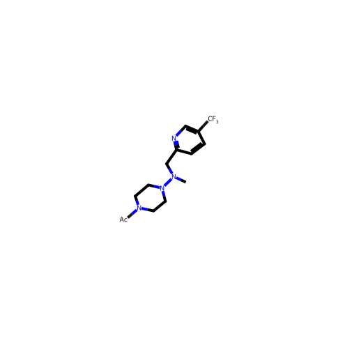 CC(=O)N1CCN(N(C)Cc2ccc(C(F)(F)F)cn2)CC1